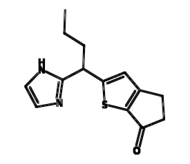 CCCC(c1ncc[nH]1)c1cc2c(s1)C(=O)CC2